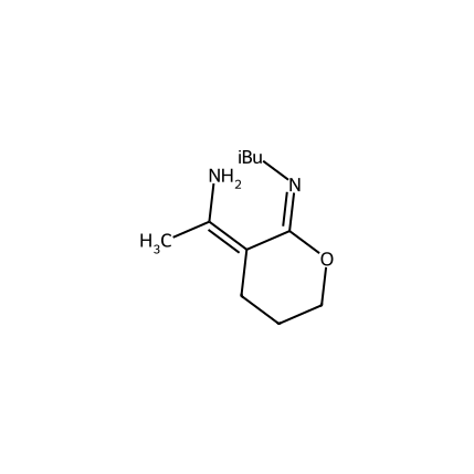 CCC(C)/N=C1/OCCC/C1=C(\C)N